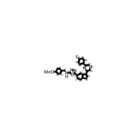 COc1ccc(CNc2nnc(-c3ccc4c(c3)C(c3cncc(-c5ccc(F)cc5)n3)=CC4)o2)cc1